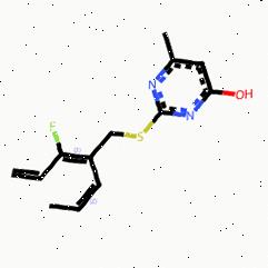 C=C/C(F)=C(\C=C/C)CSc1nc(C)cc(O)n1